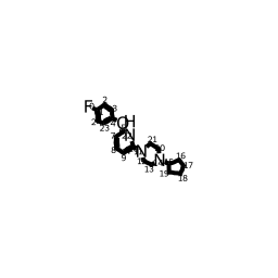 Fc1ccc(OC2C=C[C]=C(N3CCN(C4CCCC4)CC3)N2)cc1